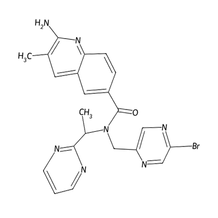 Cc1cc2cc(C(=O)N(Cc3cnc(Br)cn3)C(C)c3ncccn3)ccc2nc1N